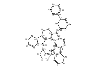 C1=Cc2c(c3ccc4c5c6c(n4C4CC=CC(c7ccccc7)C4)CCC4=C6N(C6C=C(C=CC6)n2c35)C2C=CCCC42)CC1